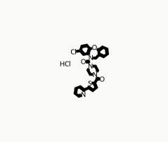 Cl.O=C(c1ccc(-c2ccccn2)s1)N1CCN(C(=O)N2Cc3ccccc3Oc3ccc(Cl)cc32)CC1